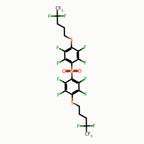 O=S(=O)(c1c(F)c(F)c(SCCCC(F)(F)C(F)(F)F)c(F)c1F)c1c(F)c(F)c(SCCCC(F)(F)C(F)(F)F)c(F)c1F